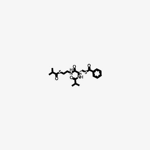 CC(C)C(=O)N[C@@H](CSC(=O)c1ccccc1)C(=O)NCCSC(=O)C(C)C